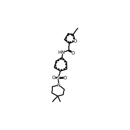 Cc1ccc(C(=O)Nc2ccc(S(=O)(=O)N3CCC(C)(C)CC3)cc2)o1